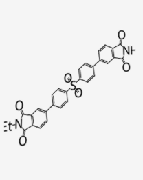 CCN1C(=O)c2ccc(-c3ccc(S(=O)(=O)c4ccc(-c5ccc6c(c5)C(=O)NC6=O)cc4)cc3)cc2C1=O